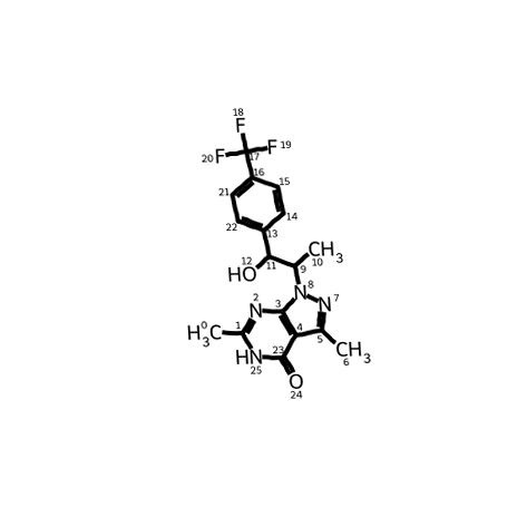 Cc1nc2c(c(C)nn2C(C)C(O)c2ccc(C(F)(F)F)cc2)c(=O)[nH]1